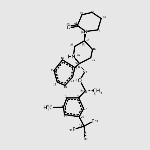 Cc1cc([C@@H](C)OC[C@@]2(c3ccccc3)CC[C@H](N3CCCCC3=O)CN2)cc(C(F)(F)F)c1